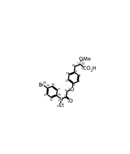 CCN(C(=O)COc1ccc(C[C@H](OC)C(=O)O)cc1)c1ccc(Br)cc1